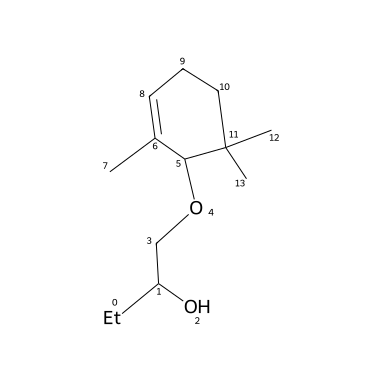 CCC(O)COC1C(C)=CCCC1(C)C